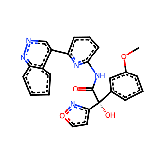 COc1cccc([C@](O)(C(=O)Nc2cccc(-c3cnnc4ccccc34)n2)c2ccon2)c1